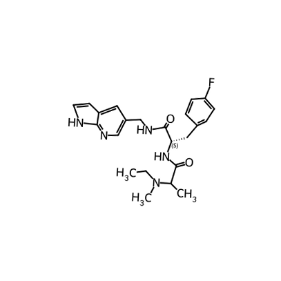 CCN(C)C(C)C(=O)N[C@@H](Cc1ccc(F)cc1)C(=O)NCc1cnc2[nH]ccc2c1